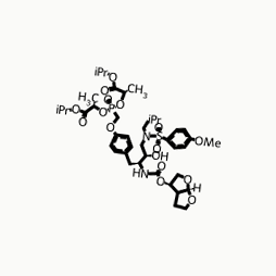 COc1ccc(S(=O)(=O)N(CC(C)C)C[C@@H](O)[C@H](Cc2ccc(OCP(=O)(O[C@@H](C)C(=O)OC(C)C)O[C@@H](C)C(=O)OC(C)C)cc2)NC(=O)O[C@H]2CO[C@H]3OCCC32)cc1